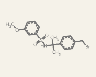 COc1cccc(S(=O)(=O)NC(C)(C)c2ccc(CBr)cc2)c1